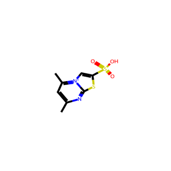 Cc1cc(C)[n+]2cc(S(=O)(=O)O)sc2n1